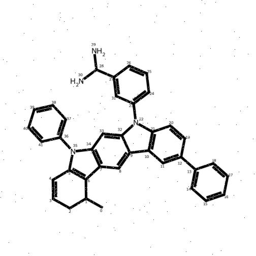 CC1CC=Cc2c1c1cc3c4cc(-c5ccccc5)ccc4n(-c4cccc(C(N)N)c4)c3cc1n2-c1ccccc1